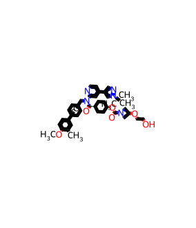 COc1ccc(C23CCC(CN(c4cc(-c5cnn(C(C)(C)C)c5)ccn4)C(=O)[C@H]4CC[C@H](OC(=O)N5CC(OCCO)C5)CC4)(CC2)CC3)cc1C